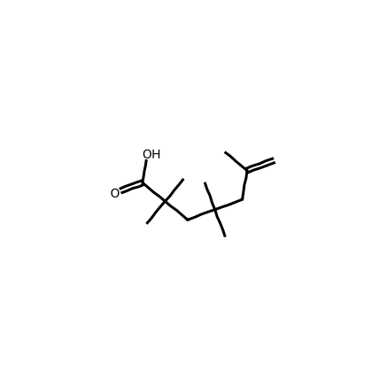 C=C(C)CC(C)(C)CC(C)(C)C(=O)O